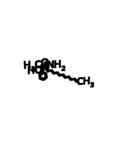 CCCCCCCCCCCCN(C(N)=O)C(O)(CC)c1ccccc1